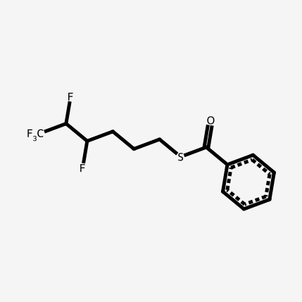 O=C(SCCCC(F)C(F)C(F)(F)F)c1ccccc1